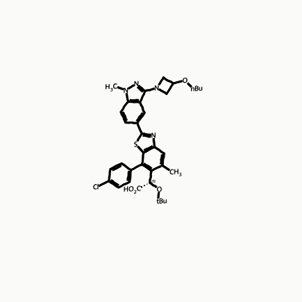 CCCCOC1CN(c2nn(C)c3ccc(-c4nc5cc(C)c([C@H](OC(C)(C)C)C(=O)O)c(-c6ccc(Cl)cc6)c5s4)cc23)C1